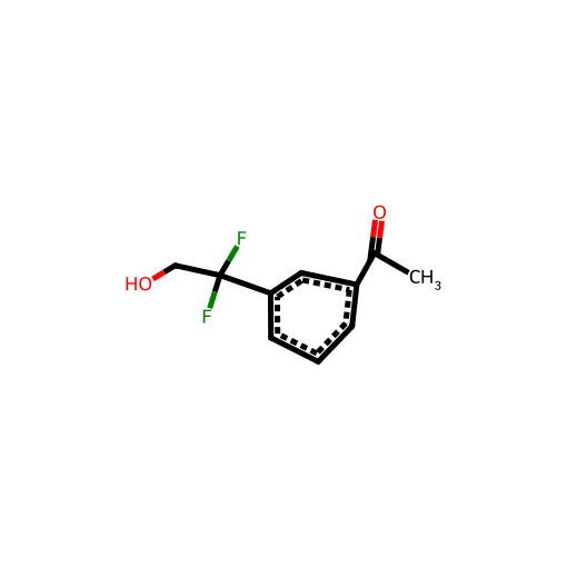 CC(=O)c1cccc(C(F)(F)CO)c1